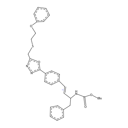 CC(C)(C)OC(=O)NC(/C=C/c1ccc(-c2nnc(CSCCOc3ccccc3)o2)cc1)Cc1ccccc1